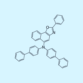 c1ccc(-c2ccc(N(c3ccc(-c4ccccc4)cc3)c3cc4nc(-c5ccccc5)oc4c4ccccc34)cc2)cc1